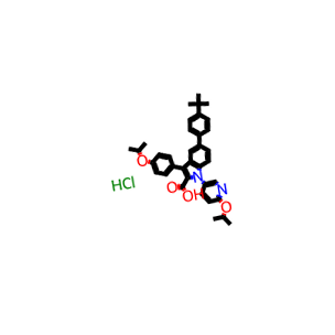 CC(C)Oc1ccc(-c2c(C(=O)O)n(-c3ccc(OC(C)C)nc3)c3ccc(-c4ccc(C(C)(C)C)cc4)cc23)cc1.Cl